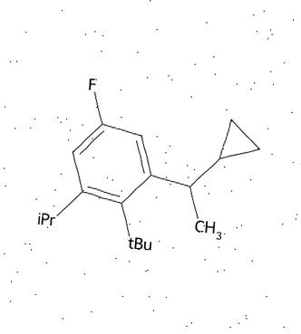 CC(C)c1cc(F)cc(C(C)C2CC2)c1C(C)(C)C